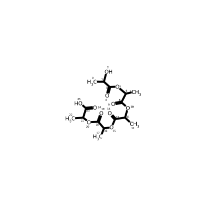 CC(O)C(=O)OC(C)C(=O)OC(C)C(=O)OC(C)C(=O)OC(C)C(=O)O